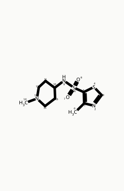 Cc1ncsc1S(=O)(=O)NC1CCN(C)CC1